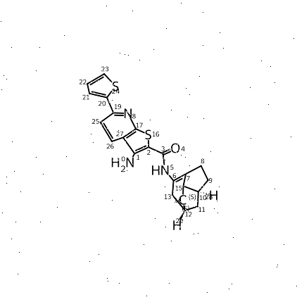 Nc1c(C(=O)NC2=C3CC[C@H]4C[C@H](C2)CC34)sc2nc(-c3cccs3)ccc12